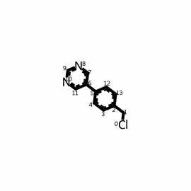 ClCc1ccc(-c2cncnc2)cc1